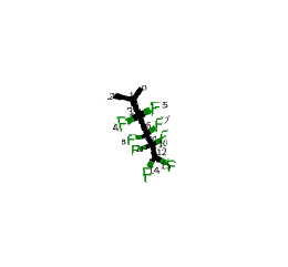 CC(C)C(F)(F)C(F)(F)C(F)(F)C(F)F